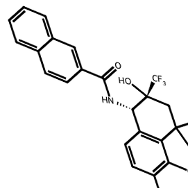 CC1(C)C[C@](O)(C(F)(F)F)[C@@H](NC(=O)c2ccc3ccccc3c2)c2ccc(F)c(O)c21